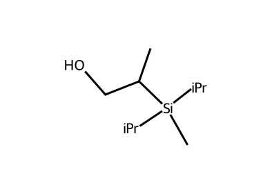 CC(C)[Si](C)(C(C)C)C(C)CO